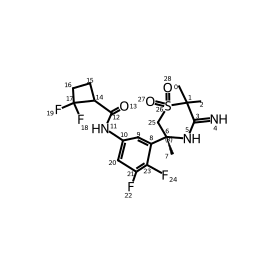 CC1(C)C(=N)N[C@](C)(c2cc(NC(=O)C3CCC3(F)F)cc(F)c2F)CS1(=O)=O